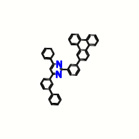 C1=CCCC(c2cc(-c3cccc(-c4ccccc4)c3)nc(-c3cccc(-c4ccc5c6ccccc6c6ccccc6c5c4)c3)n2)=C1